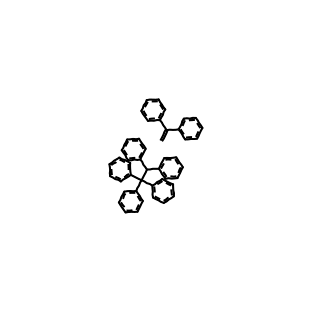 C=C(c1ccccc1)c1ccccc1.c1ccc(C(c2ccccc2)C(c2ccccc2)(c2ccccc2)c2ccccc2)cc1